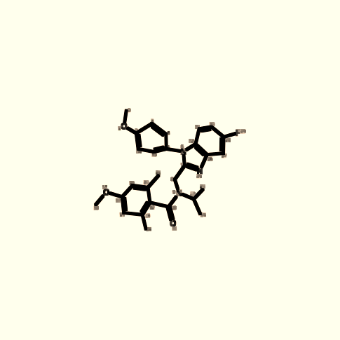 COc1ccc(-n2c(CN(C(=O)c3c(C)cc(OC)cc3C)C(C)C)nc3cc(F)ccc32)cc1